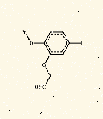 CC(C)Oc1ccc(I)cc1OCC=O